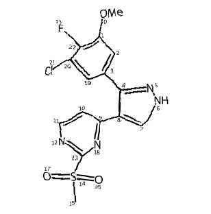 COc1cc(-c2n[nH]cc2-c2ccnc(S(C)(=O)=O)n2)cc(Cl)c1F